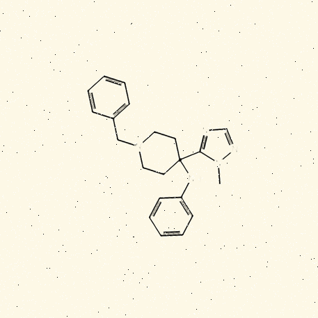 Cn1ncnc1C1(Nc2ccccc2)CCN(Cc2ccccc2)CC1